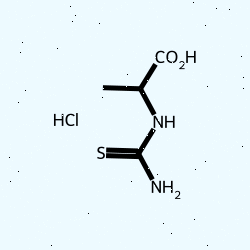 CC(NC(N)=S)C(=O)O.Cl